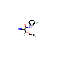 CCOC(C)=C(C#N)C(=O)Nc1cccc(Cl)c1